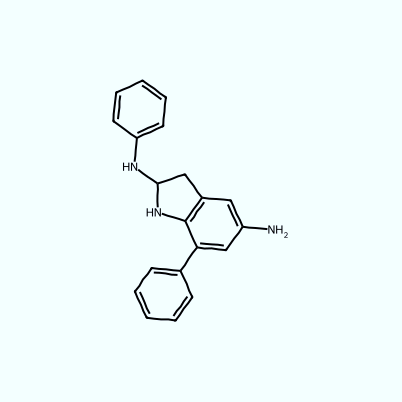 Nc1cc2c(c(-c3ccccc3)c1)NC(Nc1ccccc1)C2